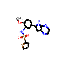 COc1ccc(-c2cc3nccnc3[nH]2)cc1NS(=O)(=O)c1cccs1